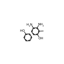 Cc1c(O)ccc(N)c1N.Oc1ccccc1